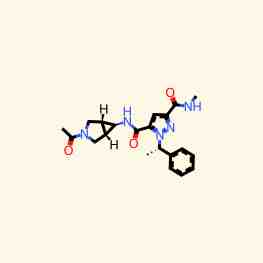 CNC(=O)c1cc(C(=O)N[C@H]2[C@@H]3CN(C(C)=O)C[C@@H]32)n([C@@H](C)c2ccccc2)n1